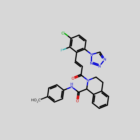 O=C(O)c1ccc(NC(=O)C2c3ccccc3CCN2C(=O)/C=C/c2c(-n3cnnn3)ccc(Cl)c2F)cc1